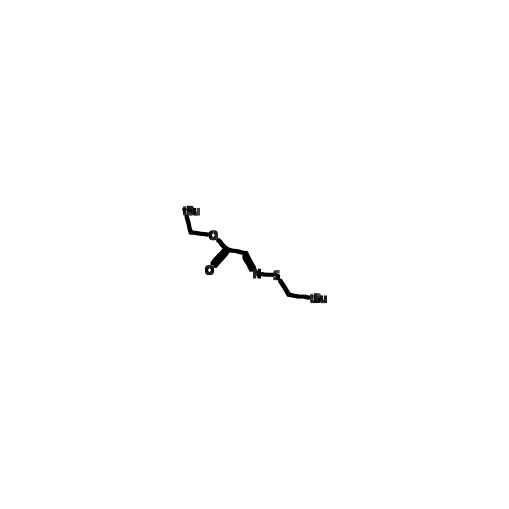 CC(C)(C)COC(=O)/C=N/SCC(C)(C)C